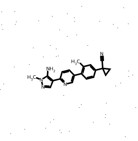 Cc1cc(C2(C#N)CC2)ccc1-c1ccc(-c2cnn(C)c2N)nc1